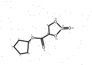 O=C(OC1CCCC1)C1COS(=O)O1